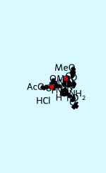 C=C(C)COC(=O)/N=C(\N)c1ccc(N[C@@H](c2nc(OCOC(=O)C(C)(C)COC)n(-c3ncccn3)n2)c2cc(OC)cc(OCCOC(C)=O)c2F)cc1.Cl